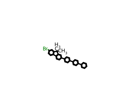 CC1(C)c2cc(Br)ccc2-c2ccc(-c3ccc(-c4ccc(-c5ccccc5)cc4)cc3)cc21